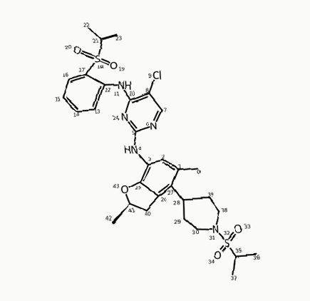 Cc1cc(Nc2ncc(Cl)c(Nc3ccccc3S(=O)(=O)C(C)C)n2)c2c(c1C1CCN(S(=O)(=O)C(C)C)CC1)C[C@@H](C)O2